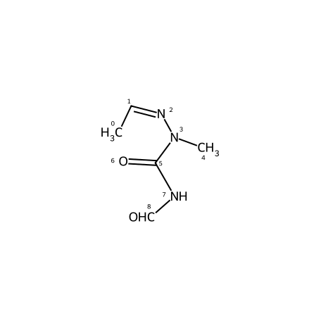 C/C=N\N(C)C(=O)NC=O